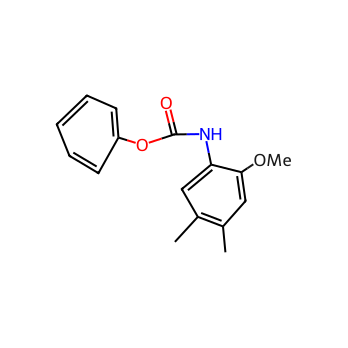 COc1cc(C)c(C)cc1NC(=O)Oc1ccccc1